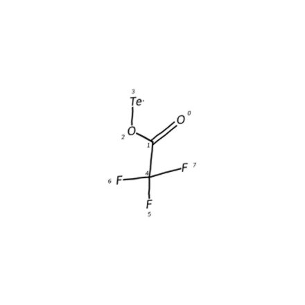 O=C(O[Te])C(F)(F)F